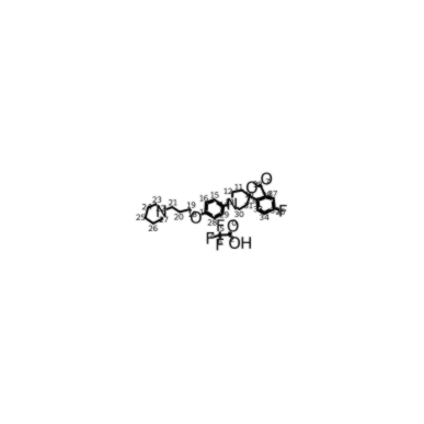 O=C(O)C(F)(F)F.O=C1OC2(CCN(c3ccc(OCCCN4CCCCC4)cc3)CC2)c2ccc(F)cc21